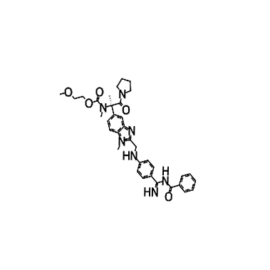 COCCOC(=O)N(C)[C@@](C)(C(=O)N1CCCC1)c1ccc2c(c1)nc(CNc1ccc(C(=N)NC(=O)c3ccccc3)cc1)n2C